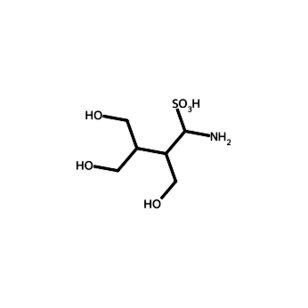 NC(C(CO)C(CO)CO)S(=O)(=O)O